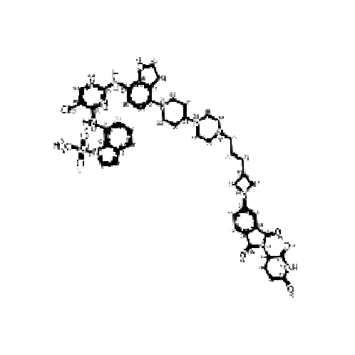 CS(=O)(=O)n1ccc2cccc(Nc3nc(Nc4ccc(N5CCC(N6CCN(CCCC7CN(c8ccc9c(c8)C(=O)N(C8CCC(=O)NC8=O)C9=O)C7)CC6)CC5)c5c4OCC5)ncc3Cl)c21